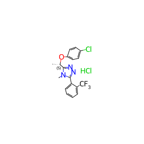 C[C@H](Oc1ccc(Cl)cc1)c1nnc(-c2ccccc2C(F)(F)F)n1C.Cl